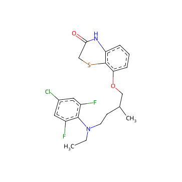 CCN(CCC(C)COc1cccc2c1SCC(=O)N2)c1c(F)cc(Cl)cc1F